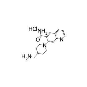 Cl.NCC1CCN(c2cc3ncccc3cc2C(N)=O)CC1